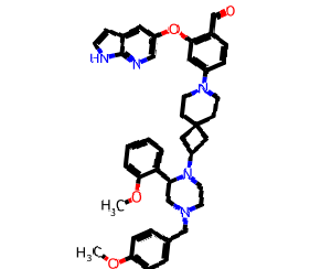 COc1ccc(CN2CCN(C3CC4(CCN(c5ccc(C=O)c(Oc6cnc7[nH]ccc7c6)c5)CC4)C3)C(c3ccccc3OC)C2)cc1